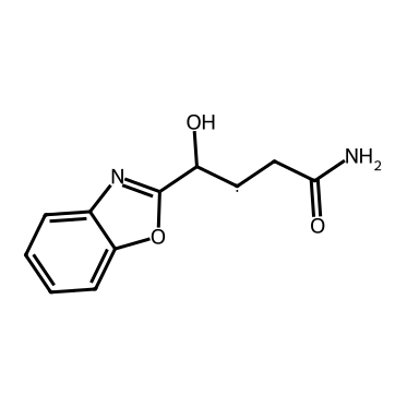 NC(=O)C[CH]C(O)c1nc2ccccc2o1